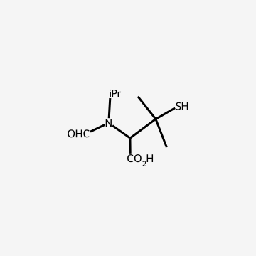 CC(C)N(C=O)C(C(=O)O)C(C)(C)S